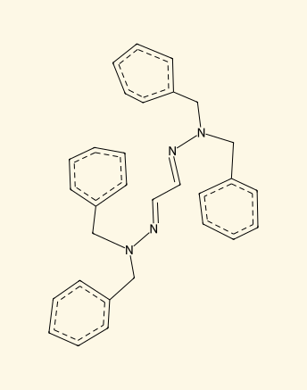 C(C=NN(Cc1ccccc1)Cc1ccccc1)=NN(Cc1ccccc1)Cc1ccccc1